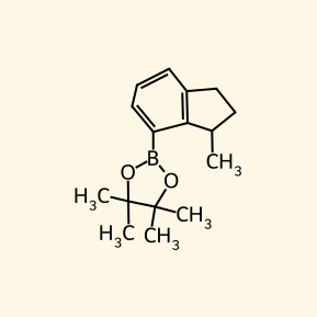 CC1CCc2cccc(B3OC(C)(C)C(C)(C)O3)c21